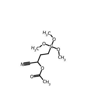 CO[Si](CCC(C#N)OC(C)=O)(OC)OC